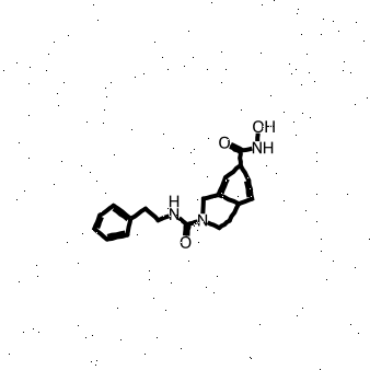 O=C(NO)C1C=CC2CCN(C(=O)NCCc3ccccc3)CC2=C1